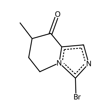 CC1CCn2c(cnc2Br)C1=O